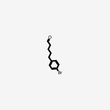 O=CCCCCc1ccc(Br)cc1